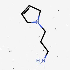 NCCCN1CC=CC1